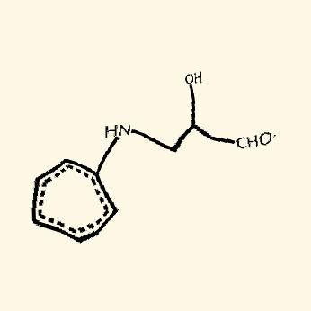 O=[C]C(O)CNc1ccccc1